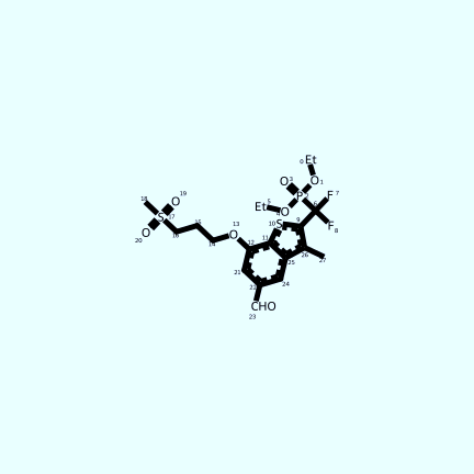 CCOP(=O)(OCC)C(F)(F)c1sc2c(OCCCS(C)(=O)=O)cc(C=O)cc2c1C